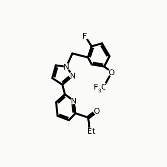 CCC(=O)c1cccc(-c2ccn(Cc3cc(OC(F)(F)F)ccc3F)n2)n1